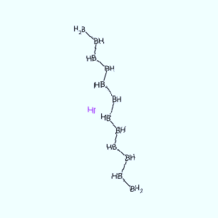 BBBBBBBBBBBB.I